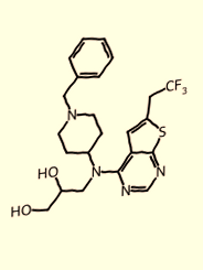 OCC(O)CN(c1ncnc2sc(CC(F)(F)F)cc12)C1CCN(Cc2ccccc2)CC1